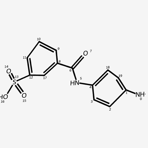 [NH]c1ccc(NC(=O)c2cccc(S(=O)(=O)O)c2)cc1